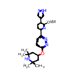 COc1nc(-c2ccc(OC3CC(C)(C)NC(C)(C)C3)nn2)ccc1-c1cn[nH]c1